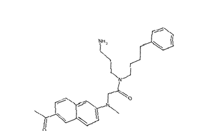 CC(=O)c1ccc2cc(N(C)CC(=O)N(CCCN)CCCCc3ccccc3)ccc2c1